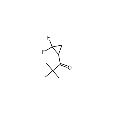 CC(C)(C)C(=O)C1CC1(F)F